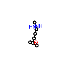 c1ccc(C2Nc3ccc(-c4ccc(-c5ccc(-c6c7ccccc7cc7c6oc6ccccc67)cc5)cc4)cc3N2)cc1